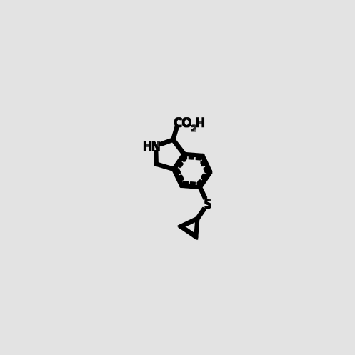 O=C(O)C1NCc2cc(SC3CC3)ccc21